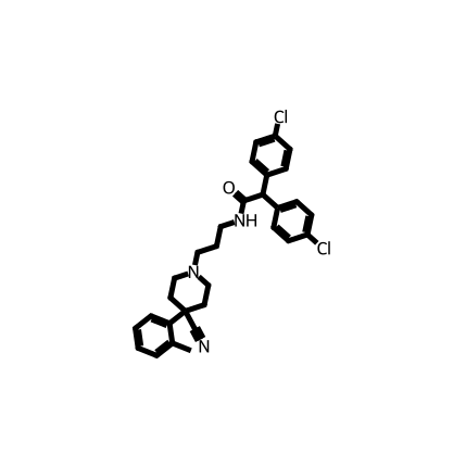 Cc1ccccc1C1(C#N)CCN(CCCNC(=O)C(c2ccc(Cl)cc2)c2ccc(Cl)cc2)CC1